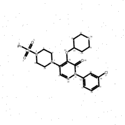 CC(C)S(=O)(=O)N1CCN(c2cnn(-c3cccc(Cl)c3)c(=O)c2OC2CCSCC2)CC1